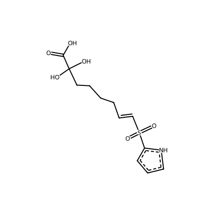 O=C(O)C(O)(O)CCCCC=CS(=O)(=O)c1ccc[nH]1